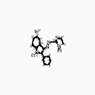 CCn1c(-c2ccccc2)c(/N=N/c2scc[n+]2CC)c2ccccc21.[Br-]